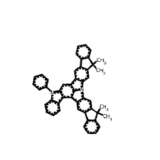 CC1(C)c2ccccc2-c2cc3c4cc5c(c6ccccc6n5-c5ccccc5)c5c6cc7c(cc6n(c3cc21)c45)C(C)(C)c1ccccc1-7